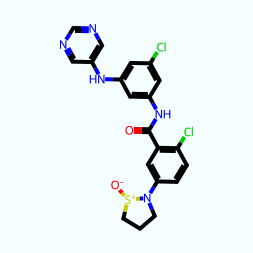 O=C(Nc1cc(Cl)cc(Nc2cncnc2)c1)c1cc(N2CCC[S+]2[O-])ccc1Cl